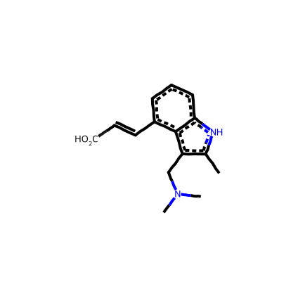 Cc1[nH]c2cccc(/C=C/C(=O)O)c2c1CN(C)C